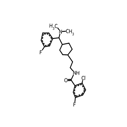 CN(C)C(c1cccc(F)c1)C1CCC(CCNC(=O)c2cc(F)ccc2Cl)CC1